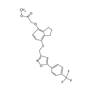 COC(=O)COc1ccc(SCc2cc(-c3ccc(C(F)(F)F)cc3)on2)c2c1CCC2